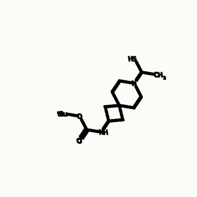 CC(S)N1CCC2(CC1)CC(NC(=O)OC(C)(C)C)C2